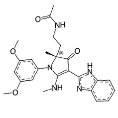 CNC1=C(c2nc3ccccc3[nH]2)C(=O)[C@@](C)(CCNC(C)=O)N1c1cc(OC)cc(OC)c1